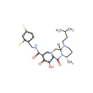 CC(C)CCN1CC[C@H](C)N2C(=O)c3c(O)c(=O)c(C(=O)NCc4ccc(F)cc4F)cn3C[C@H]12